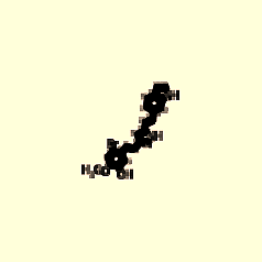 COc1cc(Br)c(C=Cc2cc(C=Cc3ccc4cc[nH]c4c3)[nH]n2)cc1O